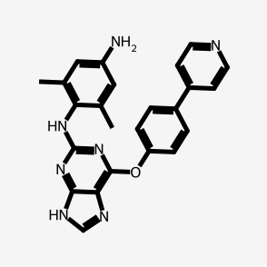 Cc1cc(N)cc(C)c1Nc1nc(Oc2ccc(-c3ccncc3)cc2)c2nc[nH]c2n1